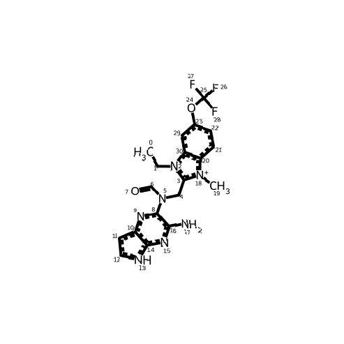 CCn1c(CN(C=O)c2nc3cc[nH]c3nc2N)[n+](C)c2ccc(OC(F)(F)F)cc21